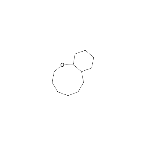 C1CCCC2CCCCC2OCC1